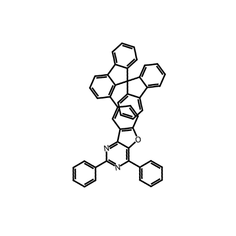 c1ccc(-c2nc(-c3ccccc3)c3oc4ccc(-c5cccc6c5C5(c7ccccc7-c7ccccc75)c5ccccc5-6)cc4c3n2)cc1